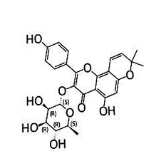 C[C@@H]1O[C@@H](Oc2c(-c3ccc(O)cc3)oc3c4c(cc(O)c3c2=O)OC(C)(C)C=C4)[C@H](O)[C@H](O)[C@H]1O